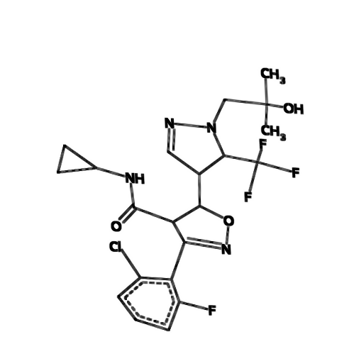 CC(C)(O)CN1N=CC(C2ON=C(c3c(F)cccc3Cl)C2C(=O)NC2CC2)C1C(F)(F)F